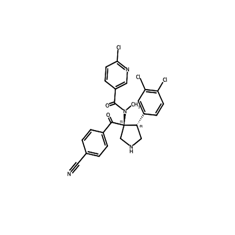 CN(C(=O)c1ccc(Cl)nc1)[C@]1(C(=O)c2ccc(C#N)cc2)CNC[C@H]1c1ccc(Cl)c(Cl)c1